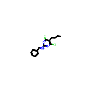 CCCCc1c(Cl)nc(NCc2ccccc2)nc1Cl